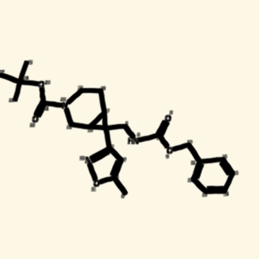 Cc1cc(C2(CNC(=O)OCc3ccccc3)C3CCN(C(=O)OC(C)(C)C)CC32)no1